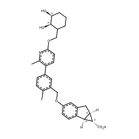 Cc1nc(OCC2CCC[C@H](O)[C@@H]2O)ccc1-c1ccc(F)c(COc2ccc3c(c2)C[C@H]2[C@H](C(=O)O)[C@@H]32)c1